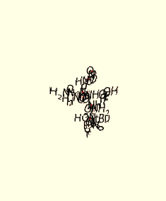 C[C@H](NC(=O)CCNC(=O)[C@@H](N)CCN(C(=O)CO)[C@@H](c1nc(-c2cc(F)ccc2F)cn1Cc1ccccc1)C(C)(C)C)C(=O)N(c1ccc(NC(=O)CN2C(=O)C=CC2=O)cc1)[C@@H](CCCNC(N)=O)C(N)=O.O=C(O)C(F)(F)F